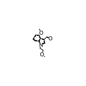 COCCn1cc(C=O)c2c(OC)cccc21